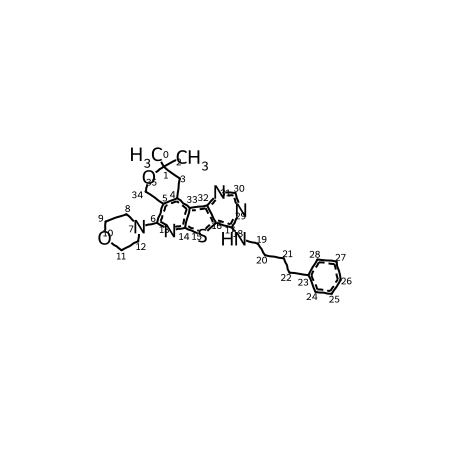 CC1(C)Cc2c(c(N3CCOCC3)nc3sc4c(NCCCCc5ccccc5)ncnc4c23)CO1